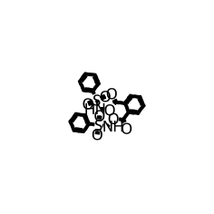 O=C(ONS(=O)(=O)c1ccccc1)c1ccccc1C(=O)ONS(=O)(=O)c1ccccc1